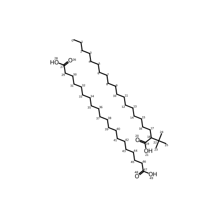 CCCCCCCCCCCCCCCCCCC(C(=O)O)C(C)(C)C.O=C(O)CCCCCCCCCCCCCCCCCCC(=O)O